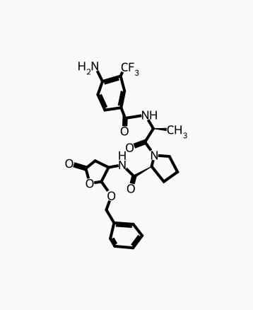 C[C@H](NC(=O)c1ccc(N)c(C(F)(F)F)c1)C(=O)N1CCC[C@H]1C(=O)NC1CC(=O)OC1OCc1ccccc1